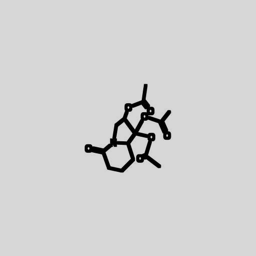 CC(=O)OC1CN2C(=O)CCCC2C1(OC(C)=O)OC(C)=O